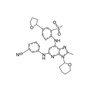 Cc1nc2c(Nc3ccc(C4CCCO4)cc3S(C)(=O)=O)cc(Nc3cccc(C#N)c3)nc2n1C1CCCCO1